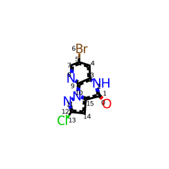 O=c1[nH]c2cc(Br)cnc2n2nc(Cl)cc12